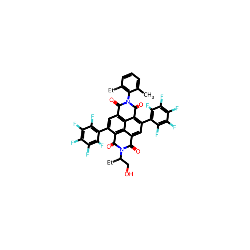 CCc1cccc(C)c1N1C(=O)c2cc(-c3c(F)c(F)c(F)c(F)c3F)c3c4c(cc(-c5c(F)c(F)c(F)c(F)c5F)c(c24)C1=O)C(=O)N(C(CC)CO)C3=O